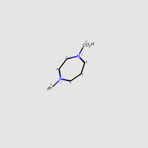 CC(C)N1CCCN(C(=O)O)CC1